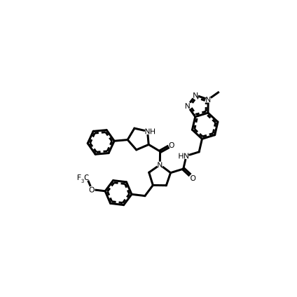 Cn1nnc2cc(CNC(=O)C3CC(Cc4ccc(OC(F)(F)F)cc4)CN3C(=O)C3CC(c4ccccc4)CN3)ccc21